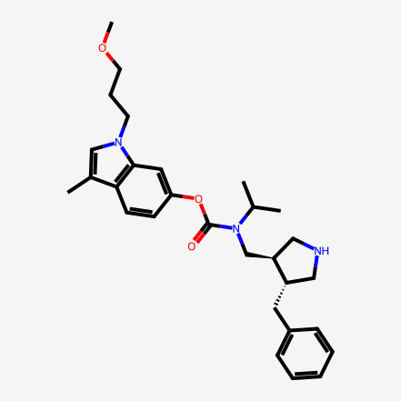 COCCCn1cc(C)c2ccc(OC(=O)N(C[C@H]3CNC[C@@H]3Cc3ccccc3)C(C)C)cc21